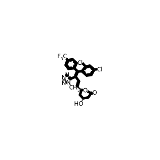 Cn1nnnc1C(C=C[C@@H]1C[C@@H](O)CC(=O)O1)=C(c1ccc(C(F)(F)F)cc1)c1ccc(Cl)cc1Cl